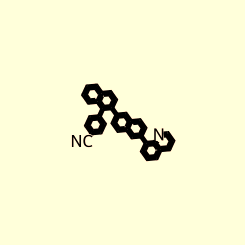 N#Cc1ccc(-c2c(-c3ccc4cc(-c5cccc6cccnc56)ccc4c3)ccc3ccccc23)cc1